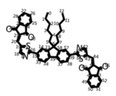 CCCCCCC1(CCCCCC)c2cc(-c3ncc(C=C4C(=O)c5ccccc5C4=O)s3)ccc2-c2ccc(-c3ncc(C=C4C(=O)c5ccccc5C4=O)s3)cc21